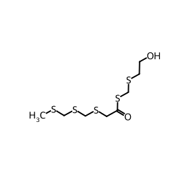 CSCSCSCC(=O)SCSCCO